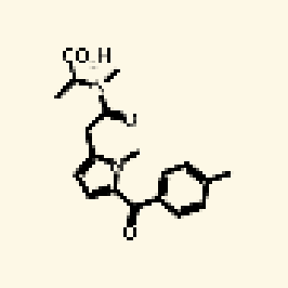 Cc1ccc(C(=O)c2ccc(CC(=O)N(C)[C@@H](C)C(=O)O)n2C)cc1